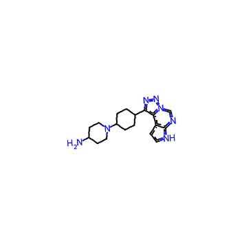 NC1CCN(C2CCC(c3nnn4cnc5[nH]ccc5c34)CC2)CC1